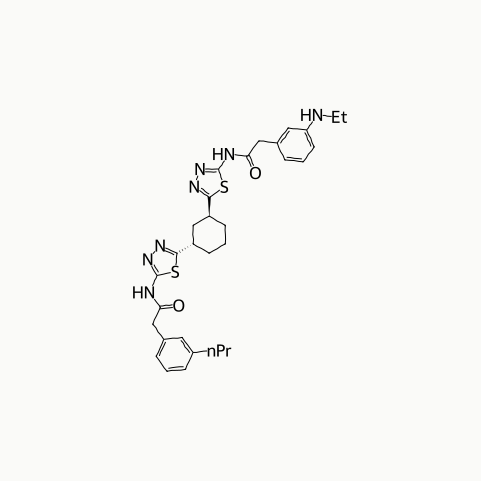 CCCc1cccc(CC(=O)Nc2nnc([C@H]3CCC[C@H](c4nnc(NC(=O)Cc5cccc(NCC)c5)s4)C3)s2)c1